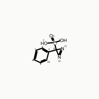 O=P(O)(O)C1(c2ccccc2)N=N1